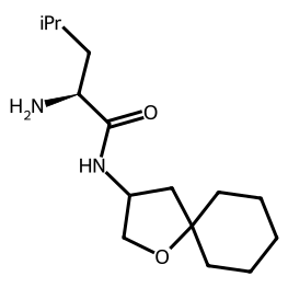 CC(C)C[C@H](N)C(=O)NC1COC2(CCCCC2)C1